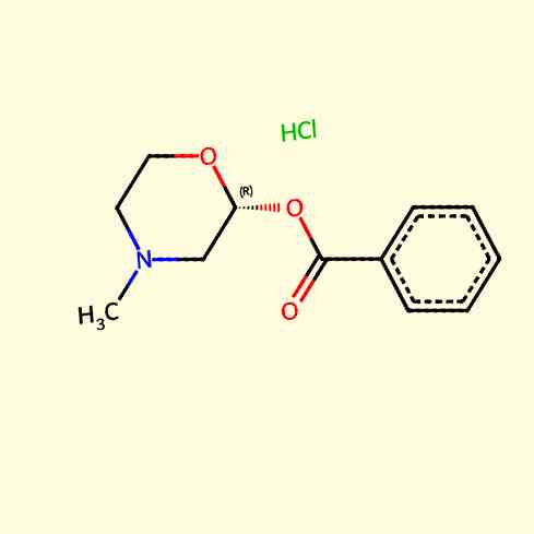 CN1CCO[C@H](OC(=O)c2ccccc2)C1.Cl